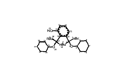 CCCCC(CCCC)(OC1CCCCC1)c1cccc(O)c1C(CCCC)(CCCC)OC1CCCCC1